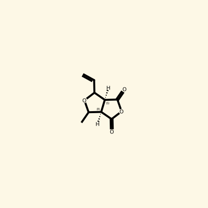 C=CC1OC(C)[C@@H]2C(=O)OC(=O)[C@H]12